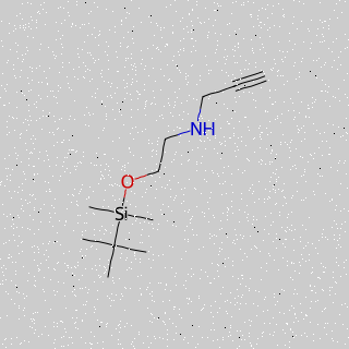 C#CCNCCO[Si](C)(C)C(C)(C)C